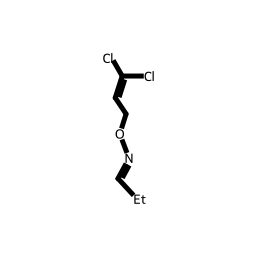 CCC=NOCC=C(Cl)Cl